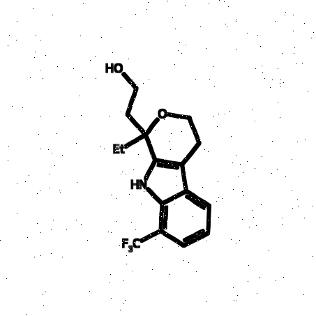 CCC1(CCO)OCCc2c1[nH]c1c(C(F)(F)F)cccc21